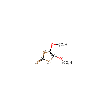 O=C(O)Oc1sc(=S)sc1OC(=O)O